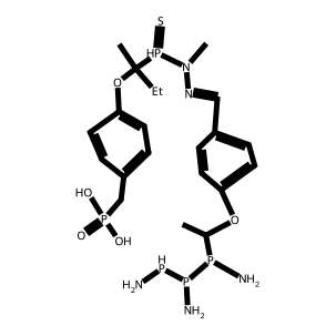 CCC(C)(Oc1ccc(CP(=O)(O)O)cc1)[PH](=S)N(C)/N=C/c1ccc(OC(C)P(N)P(N)PN)cc1